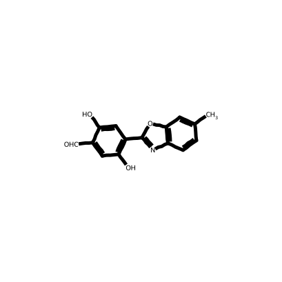 Cc1ccc2nc(-c3cc(O)c(C=O)cc3O)oc2c1